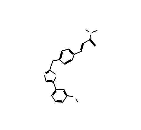 COc1cccc(-c2cnc(Cc3ccc(/C=C/C(=O)N(C)O)cc3)[nH]2)c1